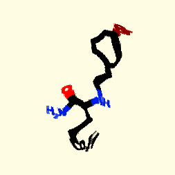 NC(=O)[C@H](CCC(=O)O)NCCc1cccc(Br)c1